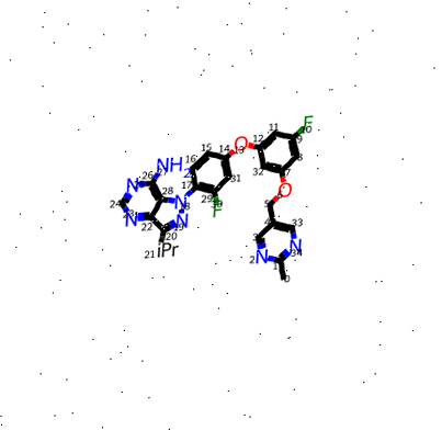 Cc1ncc(COc2cc(F)cc(Oc3ccc(-n4nc(C(C)C)c5ncnc(N)c54)c(F)c3)c2)cn1